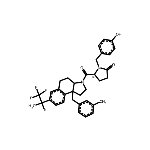 Cc1cccc(CC23CCN(C(=O)[C@@H]4CCC(=O)N4Cc4ccc(O)cc4)C2CCc2cc(C(C)(F)C(F)(F)F)ccc23)c1